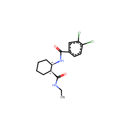 N#CCNC(=O)[C@H]1CCCC[C@H]1NC(=O)c1ccc(Cl)c(Cl)c1